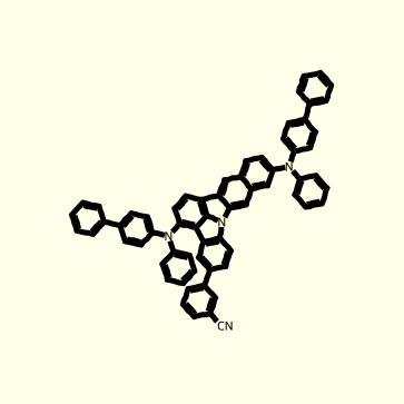 N#Cc1cccc(-c2ccc3c(c2)c2c(N(c4ccccc4)c4ccc(-c5ccccc5)cc4)ccc4c5cc6ccc(N(c7ccccc7)c7ccc(-c8ccccc8)cc7)cc6cc5n3c42)c1